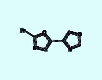 CC(C)c1n[c]c(-c2cocn2)o1